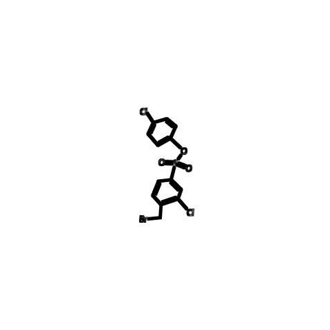 O=S(=O)(Oc1ccc(Cl)cc1)c1ccc(CBr)c(Cl)c1